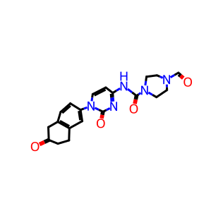 O=CN1CCN(C(=O)Nc2ccn(-c3ccc4c(c3)CCC(=O)C4)c(=O)n2)CC1